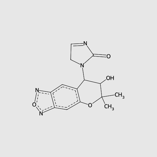 CC1(C)Oc2cc3nonc3cc2C(N2CC=NC2=O)C1O